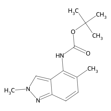 Cc1ccc2nn(C)cc2c1NC(=O)OC(C)(C)C